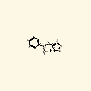 OB(Oc1nnn[nH]1)c1ccccc1